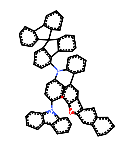 c1ccc(N(c2ccc(-n3c4ccccc4c4ccccc43)cc2)c2cccc3c2-c2ccccc2C32c3ccccc3-c3ccccc32)c(-c2ccc3oc4cc5ccccc5cc4c3c2)c1